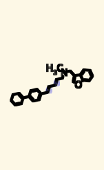 CN(C/C=C/C=C/c1ccc(C2=CCCC=C2)cc1)Cc1coc2ccccc12